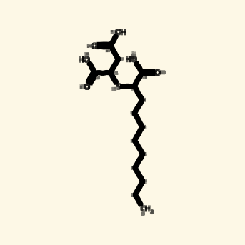 CCCCCCCCCC(SC(CC(=O)O)C(=O)O)C(=O)O